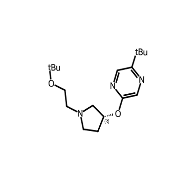 CC(C)(C)OCCN1CC[C@@H](Oc2cnc(C(C)(C)C)cn2)C1